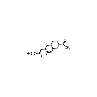 CC/C(=C\c1cc2c(cc1F)CN(C(=O)C(F)(F)F)CC2)C(=O)O